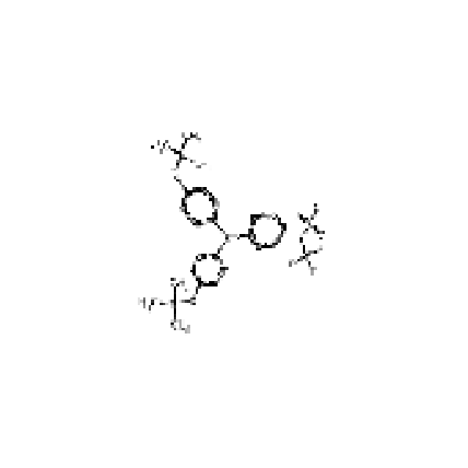 CC(C)(C)Oc1ccc([S+](c2ccccc2)c2ccc(OC(C)(C)C)cc2)cc1.O=S(=O)([O-])CC(F)(F)F